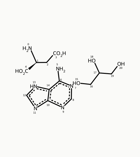 N[C@@H](CC(=O)O)C(=O)O.Nc1ncnc2nc[nH]c12.OCC(O)CO